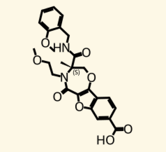 COCCN1C(=O)c2oc3cc(C(=O)O)ccc3c2OC[C@@]1(C)C(=O)NCc1ccccc1OC